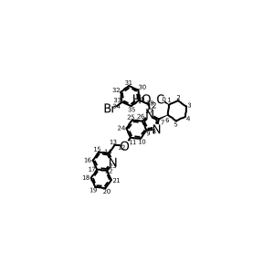 O=C(O)[C@H]1CCCC[C@H]1c1nc2cc(OCc3ccc4ccccc4n3)ccc2n1Cc1cccc(Br)c1